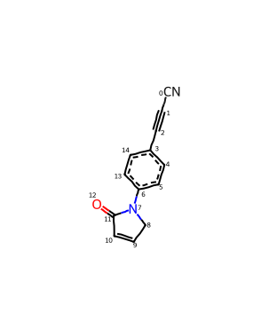 N#CC#Cc1ccc(N2CC=CC2=O)cc1